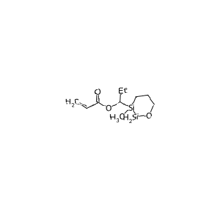 C=CC(=O)OC(CC)[Si]1(C)CCCO[SiH2]1